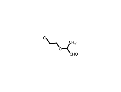 [CH2]C(C=O)OCCCl